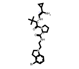 CC(C)(C)[C@H](N/C=C(\N)C1CC1)C(=O)N1CCC[C@H]1C(=O)NCCN1CCc2c(Br)cccc21